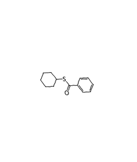 O=C(SC1CCCCC1)c1ccccc1